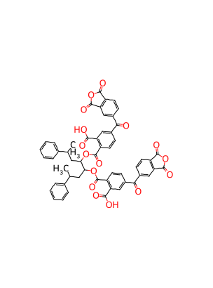 CC(CC(OC(=O)c1ccc(C(=O)c2ccc3c(c2)C(=O)OC3=O)cc1C(=O)O)C(CC(C)c1ccccc1)OC(=O)c1ccc(C(=O)c2ccc3c(c2)C(=O)OC3=O)cc1C(=O)O)c1ccccc1